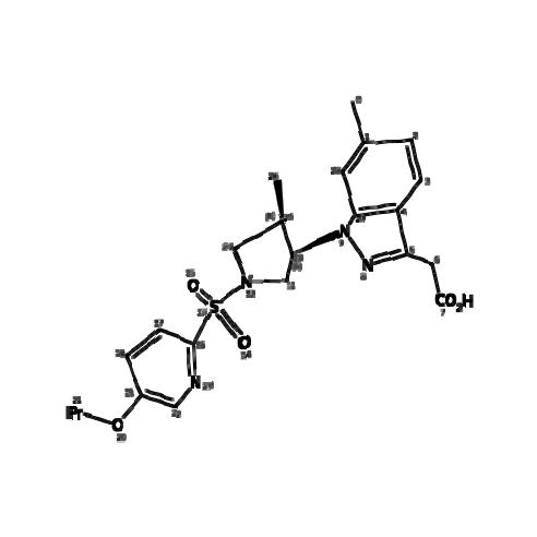 Cc1ccc2c(CC(=O)O)nn([C@H]3CN(S(=O)(=O)c4ccc(OC(C)C)cn4)C[C@H]3C)c2c1